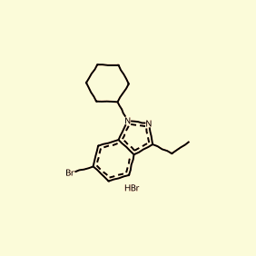 Br.CCc1nn(C2CCCCC2)c2cc(Br)ccc12